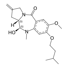 C=C1C[C@H]2[C@H](O)N(C)c3cc(OCCC(C)C)c(OC)cc3C(=O)N2C1